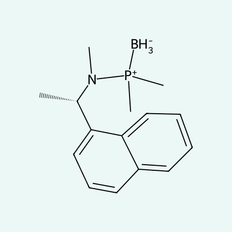 [BH3-][P+](C)(C)N(C)[C@@H](C)c1cccc2ccccc12